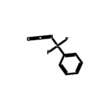 O=C=NS(F)(F)c1ccccc1